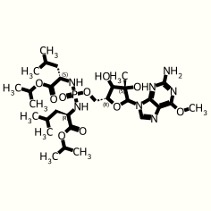 COc1nc(N)nc2c1ncn2C1O[C@H](COP(=O)(N[C@@H](CC(C)C)C(=O)OC(C)C)N[C@H](CC(C)C)C(=O)OC(C)C)C(O)[C@]1(C)O